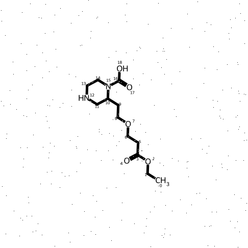 CCOC(=O)CCOCCC1CNCCN1C(=O)O